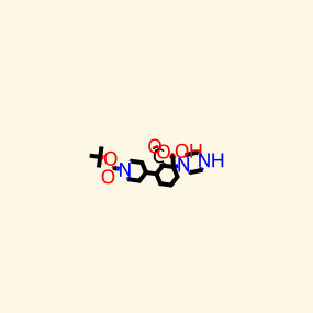 CC(C)(C)OC(=O)N1CCC(C2CCCC(C(=O)O)(N3CCNCC3)C2=C=O)CC1